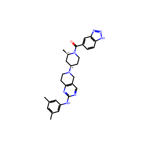 Cc1cc(C)cc(Nc2ncc3c(n2)CCN([C@@H]2CCN(C(=O)c4ccc5[nH]nnc5c4)[C@H](C)C2)C3)c1